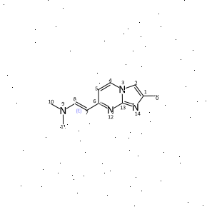 Cc1cn2ccc(/C=C/N(C)C)nc2n1